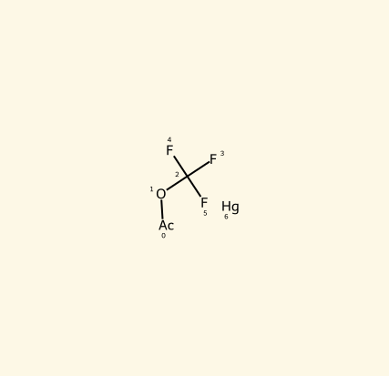 CC(=O)OC(F)(F)F.[Hg]